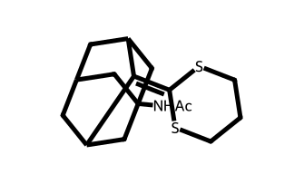 CC(=O)NC12CC3CC(C1)C(=C1SCCCS1)C(C3)C2